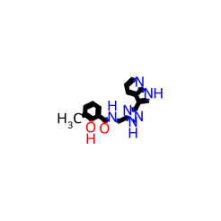 Cc1cccc(C(=O)NCc2nc(-c3c[nH]c4ncccc34)n[nH]2)c1O